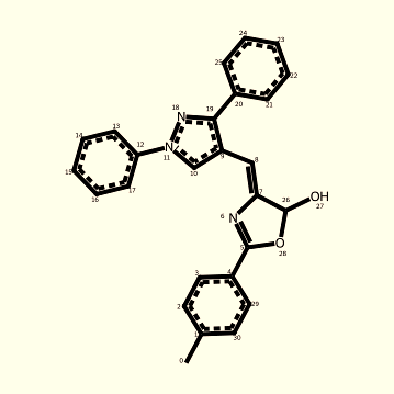 Cc1ccc(C2=N/C(=C\c3cn(-c4ccccc4)nc3-c3ccccc3)C(O)O2)cc1